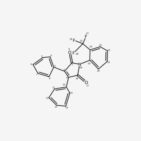 O=C1C(c2ccccc2)=C(c2ccccc2)C(=O)N1c1ccccc1C(F)(F)F